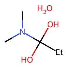 CCC(O)(O)N(C)C.O